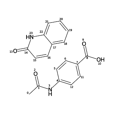 CC(=O)Nc1ccc(C(=O)O)cc1.O=c1ccc2ccccc2[nH]1